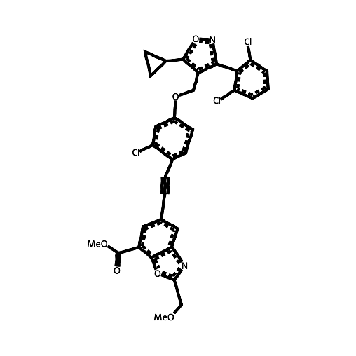 COCc1nc2cc(C#Cc3ccc(OCc4c(-c5c(Cl)cccc5Cl)noc4C4CC4)cc3Cl)cc(C(=O)OC)c2o1